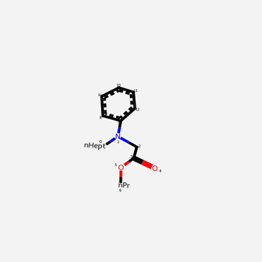 CCCCCCCN(CC(=O)OCCC)c1ccccc1